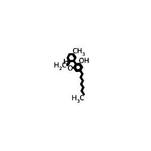 C=C1Oc2cc(CCCCCCCC)cc(O)c2C2C=C(C)CC[C@@H]12